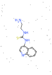 NCCNC(=S)Nc1ccnc2ccccc12